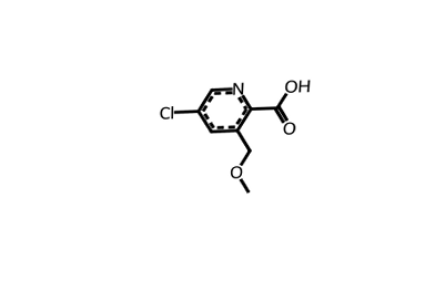 COCc1cc(Cl)cnc1C(=O)O